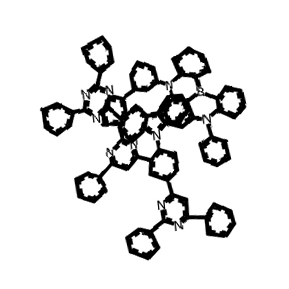 c1ccc(-c2cc(-c3ccc(-n4c5ccccc5c5cc(-c6nc(-c7ccccc7)nc(-c7ccccc7)n6)ccc54)c(-c4cc(-c5ccccc5)nc(-c5cccc(-c6cccc(N7c8ccccc8B8c9ccccc9N(c9ccccc9)c9cccc7c98)c6)c5)n4)c3)nc(-c3ccccc3)n2)cc1